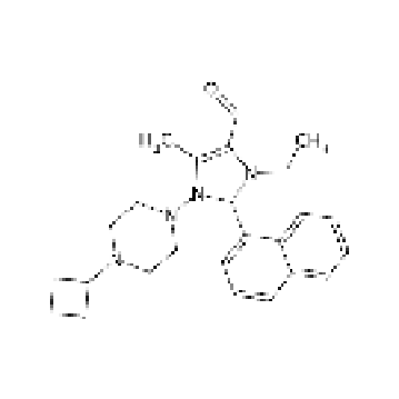 CCN1C(C=O)=C(C)N(N2CCN(C3CCC3)CC2)C1c1cccc2ccccc12